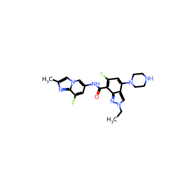 CCn1cc2c(N3CCNCC3)cc(F)c(C(=O)Nc3cc(F)c4nc(C)cn4c3)c2n1